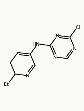 CCC1CC=C(Nc2ncnc(Cl)n2)C=N1